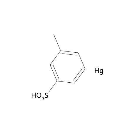 Cc1cccc(S(=O)(=O)O)c1.[Hg]